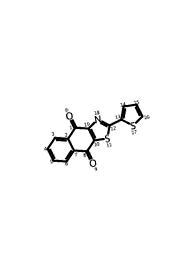 O=C1c2ccccc2C(=O)c2sc(-c3cccs3)nc21